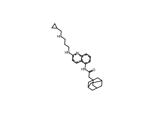 O=C(CC12CC3CC(CC(C3)C1)C2)Nc1cccc2nc(NCCCNCC3CC3)ccc12